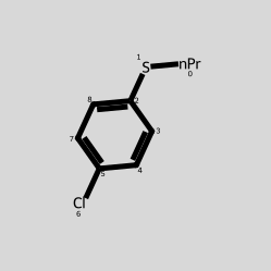 CCCSc1[c]cc(Cl)cc1